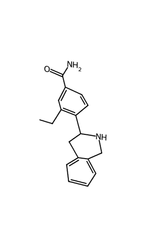 CCc1cc(C(N)=O)ccc1C1Cc2ccccc2CN1